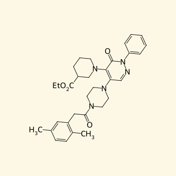 CCOC(=O)C1CCCN(c2c(N3CCN(C(=O)Cc4cc(C)ccc4C)CC3)cnn(-c3ccccc3)c2=O)C1